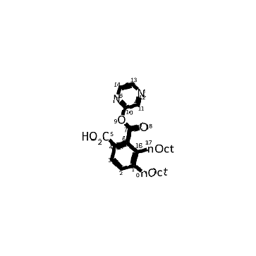 CCCCCCCCc1ccc(C(=O)O)c(C(=O)Oc2cnccn2)c1CCCCCCCC